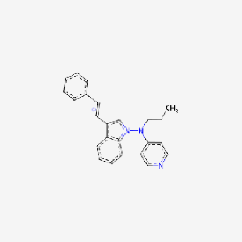 CCCN(c1ccncc1)n1cc(/C=C/c2ccccc2)c2ccccc21